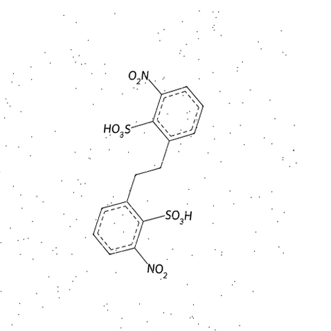 O=[N+]([O-])c1cccc(CCc2cccc([N+](=O)[O-])c2S(=O)(=O)O)c1S(=O)(=O)O